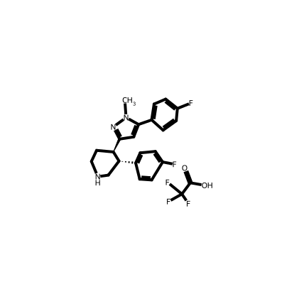 Cn1nc([C@@H]2CCNC[C@H]2c2ccc(F)cc2)cc1-c1ccc(F)cc1.O=C(O)C(F)(F)F